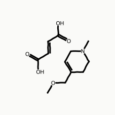 COCC1=CCN(C)CC1.O=C(O)C=CC(=O)O